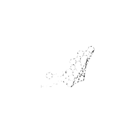 CCCCOC(=O)C1(C(=O)OCc2ccccc2)C23C=Cc4c5ccc6c7ccc8c9ccc%10c%11c%12c(c%13c2c4c2c5c6c4c7c8c5c9c%10c%12c6c%13c2c4c65)C13C=C%11